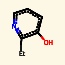 [CH2]Cc1ncccc1O